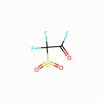 O=C(F)C(F)(F)[SH](=O)=O